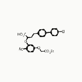 CCOC(=O)COc1ccc(C(C)=O)c(OC(CCc2ccc(-c3ccc(Cl)cc3)cc2)C(=O)O)c1